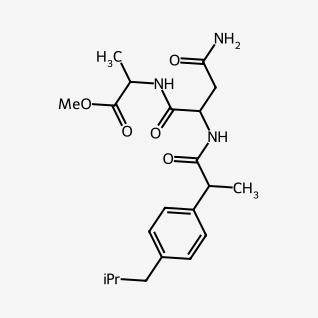 COC(=O)C(C)NC(=O)C(CC(N)=O)NC(=O)C(C)c1ccc(CC(C)C)cc1